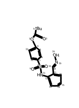 CC(C)(C)C(=O)Oc1ccc(S(=O)(=O)Nc2ccccc2C=NO)cc1